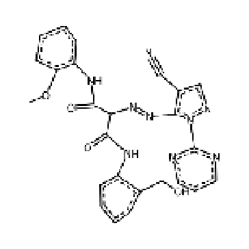 COc1ccccc1NC(=O)C(N=Nc1c(C#N)cnn1-c1ncccn1)C(=O)Nc1ccccc1CO